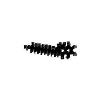 O=C1c2c(F)c(F)c(F)c(F)c2C(F)(F)C(F)(F)C1(F)C(F)(F)C(F)(F)C(F)(F)C(F)(F)C(F)(F)C(F)(F)C(F)(F)C(F)(F)C(F)(F)F